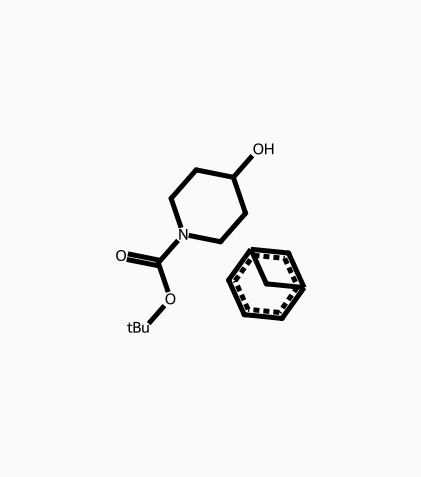 CC(C)(C)OC(=O)N1CCC(O)CC1.c1cc2cc(c1)C2